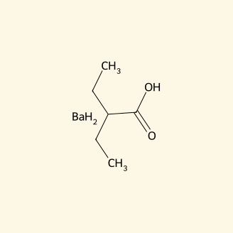 CCC(CC)C(=O)O.[BaH2]